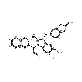 Cc1cc2c(cc1C)N(C(C=O)c1ccc3ccccc3c1)C(Br)N2Cc1ccc2c(c1)CC(=O)O2